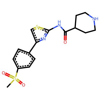 CS(=O)(=O)c1ccc(-c2csc(NC(=O)C3CCNCC3)n2)cc1